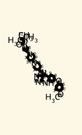 COc1ccc(Oc2ccc(-c3nn(C4CCN(C5CCN(C6CN(C(=O)OC(C)(C)C)C6)CC5)CC4)c4ncnc(N)c34)cc2)cc1